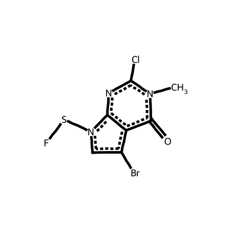 Cn1c(Cl)nc2c(c(Br)cn2SF)c1=O